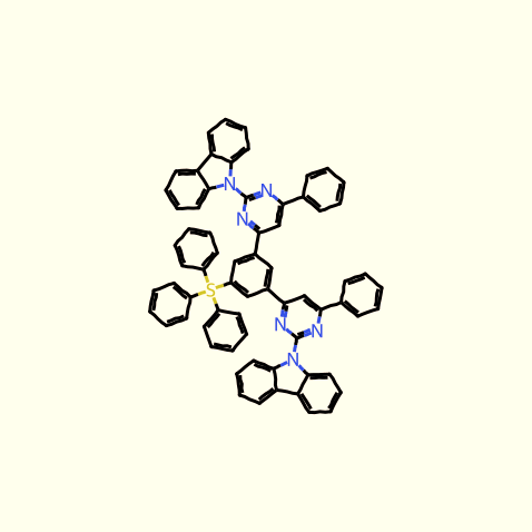 c1ccc(-c2cc(-c3cc(-c4cc(-c5ccccc5)nc(-n5c6ccccc6c6ccccc65)n4)cc(S(c4ccccc4)(c4ccccc4)c4ccccc4)c3)nc(-n3c4ccccc4c4ccccc43)n2)cc1